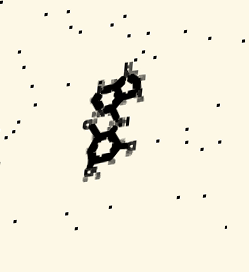 FC(F)(F)c1cc(Cl)c(Nc2ncnc3[nH]cnc23)c(Cl)c1